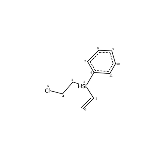 C=C[SiH](CCCl)c1ccccc1